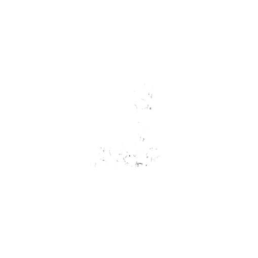 CO[C@H](CF)CN(CCCCc1ccc2c(n1)NCCC2)CC[C@H](NC(=O)C(C)(C)c1cncc(Cl)c1)C(=O)O